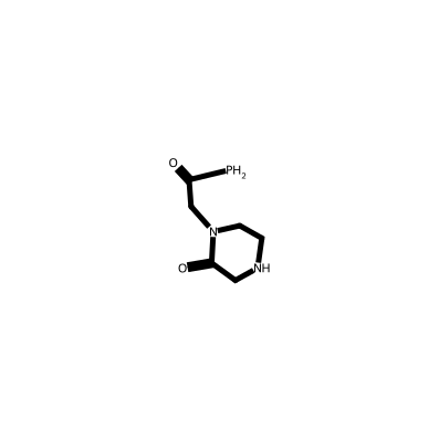 O=C(P)CN1CCNCC1=O